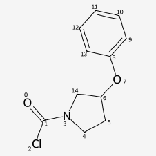 O=C(Cl)N1CCC(Oc2ccccc2)C1